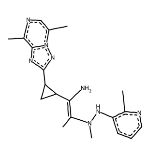 C/C(=C(/N)C1CC1c1nc2c(C)ncc(C)n2n1)N(C)Nc1cccnc1C